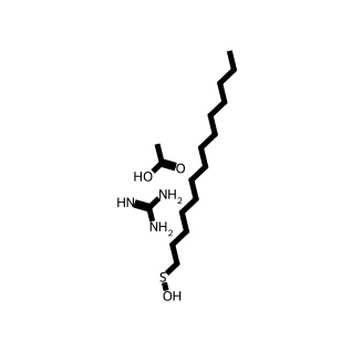 CC(=O)O.CCCCCCCCCCCCCCSO.N=C(N)N